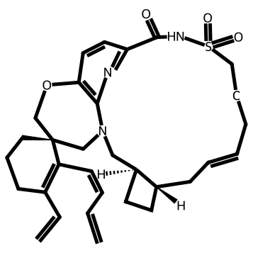 C=C/C=C\C1=C(C=C)CCC[C@]12COc1ccc3nc1N(C[C@@H]1CC[C@H]1C/C=C/CCCS(=O)(=O)NC3=O)C2